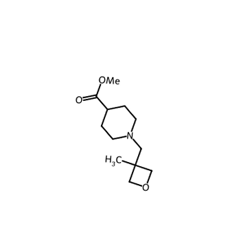 COC(=O)C1CCN(CC2(C)COC2)CC1